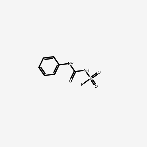 O=C(Nc1ccccc1)NS(=O)(=O)F